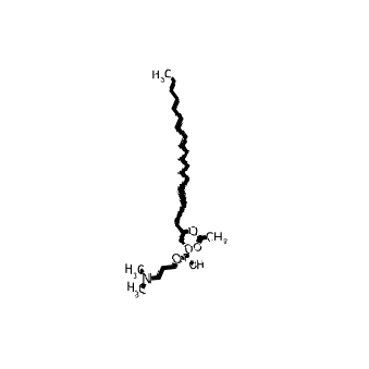 CCCCCCCCCCCCCCCCCC(COP(O)OCCCN(C)C)OC(C)=O